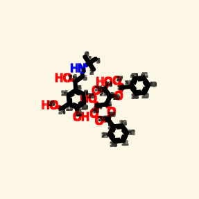 CC(C)(C)NC[C@H](O)c1ccc(O)c(CO)c1.O=C(OC(C(=O)O)C(OC(=O)c1ccccc1)C(=O)O)c1ccccc1